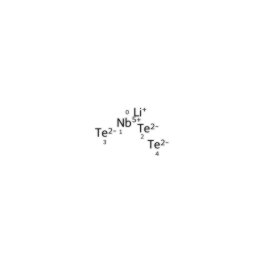 [Li+].[Nb+5].[Te-2].[Te-2].[Te-2]